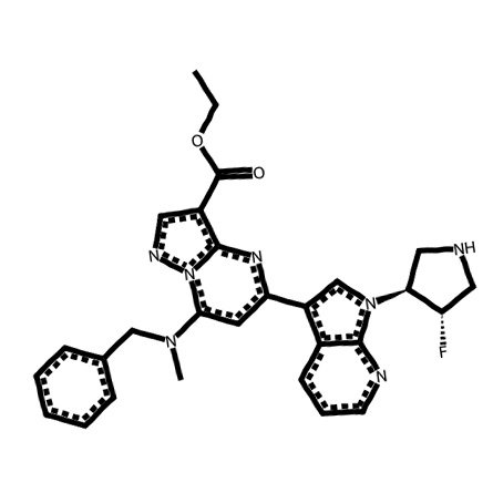 CCOC(=O)c1cnn2c(N(C)Cc3ccccc3)cc(-c3cn([C@H]4CNC[C@@H]4F)c4ncccc34)nc12